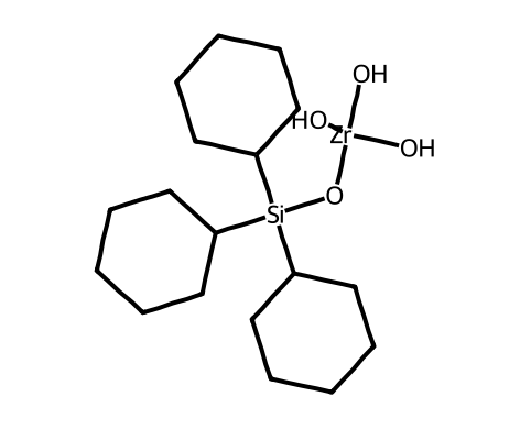 [OH][Zr]([OH])([OH])[O][Si](C1CCCCC1)(C1CCCCC1)C1CCCCC1